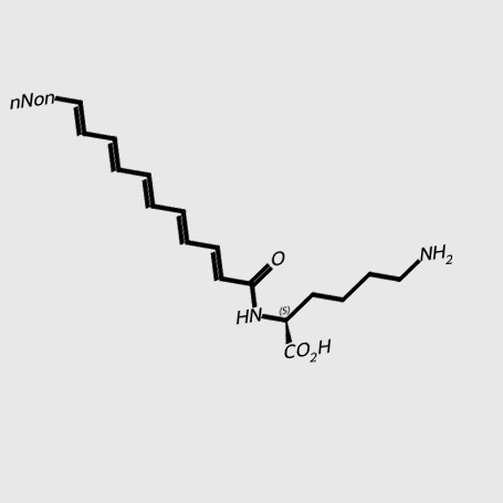 CCCCCCCCCC=CC=CC=CC=CC=CC(=O)N[C@@H](CCCCN)C(=O)O